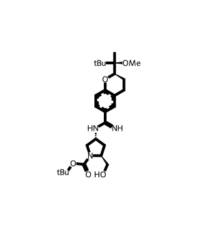 CO[C@@](C)([C@H]1CCc2cc(C(=N)N[C@@H]3C[C@@H](CO)N(C(=O)OC(C)(C)C)C3)ccc2O1)C(C)(C)C